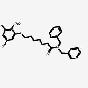 O=Cc1c(OCCCCCCC(=O)N(Cc2ccccc2)Cc2ccccc2)cc(Cl)cc1[N+](=O)[O-]